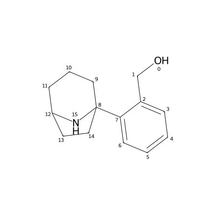 OCc1ccccc1C12CCCC(CC1)N2